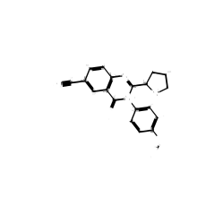 COc1ccc(-n2c(C3CCCN3)nc3ccc(C#N)cc3c2=O)cc1